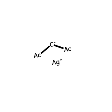 CC(=O)[CH-]C(C)=O.[Ag+]